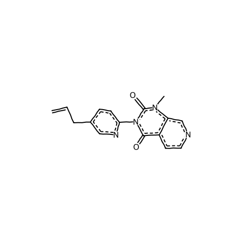 C=CCc1ccc(-n2c(=O)c3ccncc3n(C)c2=O)nc1